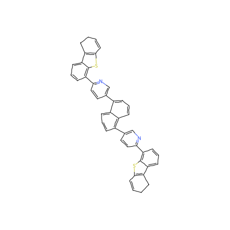 C1=Cc2sc3c(-c4ccc(-c5cccc6c(-c7ccc(-c8cccc9c%10c(sc89)C=CCC%10)nc7)cccc56)cn4)cccc3c2CC1